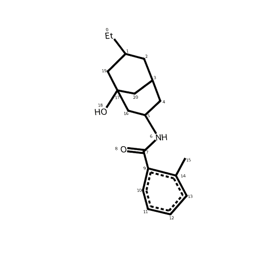 CCC1CC2CC(NC(=O)c3ccccc3C)CC(O)(C1)C2